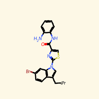 CC(C)Cc1cn(-c2nc(C(=O)Nc3ccccc3N)cs2)c2cc(Br)ccc12